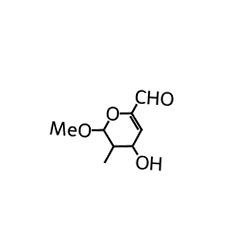 COC1OC(C=O)=CC(O)C1C